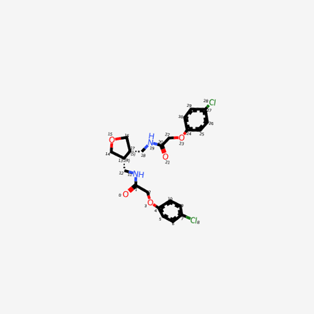 O=C(COc1ccc(Cl)cc1)NC[C@@H]1COC[C@@H]1CNC(=O)COc1ccc(Cl)cc1